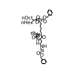 CCCCCCCCC(CCCCCC)C(=O)OC(CCCCCNC(=O)C(CCNC=NC(=O)OCc1ccccc1)NC(=O)OC(C)(C)C)NC(=O)OCc1ccccc1